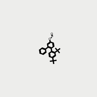 CC(C)(C)c1ccc(-c2ccc(OP=O)cc2-c2ccccc2)c(C(C)(C)C)c1